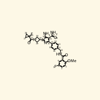 COc1ccc(F)cc1C(=O)NCc1ccc(-c2nn(C3CN(C(=O)C4(F)CC4)C3)c(N)c2C(N)=O)cc1